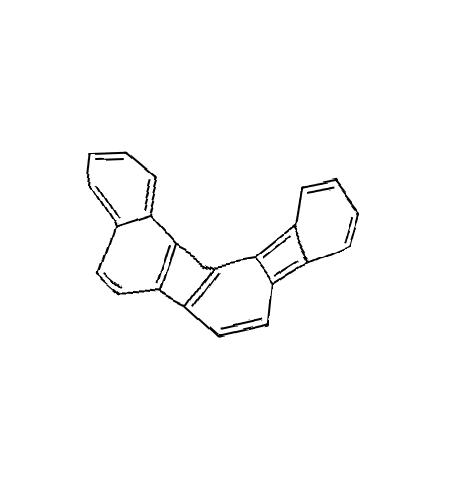 c1ccc2c(c1)ccc1c3ccc4c5ccccc5c4c3c21